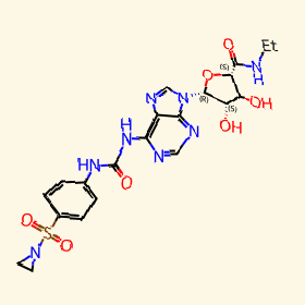 CCNC(=O)[C@H]1O[C@@H](n2cnc3c(NC(=O)Nc4ccc(S(=O)(=O)N5CC5)cc4)ncnc32)[C@@H](O)C1O